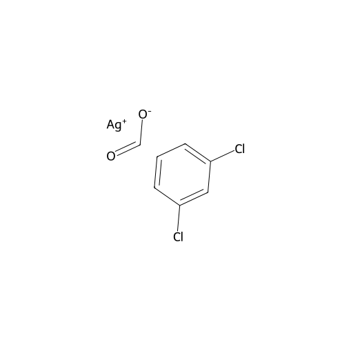 Clc1cccc(Cl)c1.O=C[O-].[Ag+]